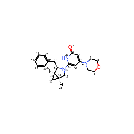 O=c1cc(N2CCOCC2)cc(N2C[C@H]3C[C@H]3[C@H]2Cc2ccccc2)[nH]1